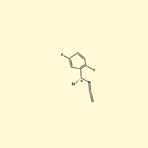 CC[C@@H](N=C=O)c1cc(F)ccc1F